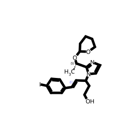 C[C@H](OC1CCCCO1)c1nccn1C(/C=C/c1ccc(I)cc1)CCO